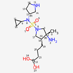 C[C@]1(N)CN(S(=O)(=O)N(C2CC2)[C@@H]2CCNC2)C[C@@H]1CCCB(O)O